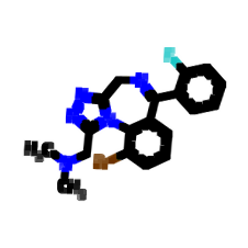 CN(C)Cc1nnc2n1-c1c(Br)cccc1C(c1ccccc1F)=NC2